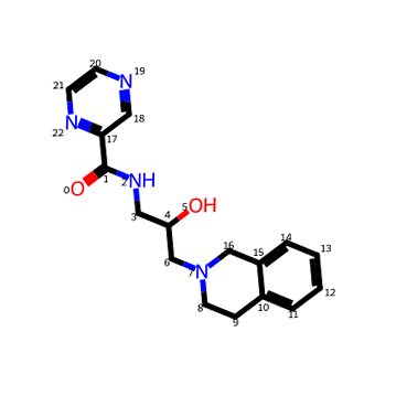 O=C(NCC(O)CN1CCc2ccccc2C1)c1cnccn1